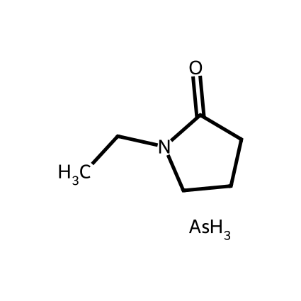 CCN1CCCC1=O.[AsH3]